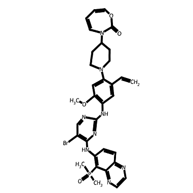 C=Cc1cc(Nc2ncc(Br)c(Nc3ccc4nccnc4c3P(C)(C)=O)n2)c(OC)cc1N1CCC(N2C=CC=COC2=O)CC1